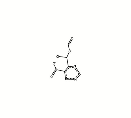 O=COC(Cl)c1ncncc1[N+](=O)[O-]